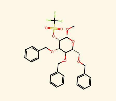 CO[C@H]1O[C@H](COCc2ccccc2)[C@@H](OCc2ccccc2)[C@H](OCc2ccccc2)[C@@H]1OS(=O)(=O)C(F)(F)F